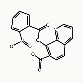 O=C(Oc1c([N+](=O)[O-])ccc2cccnc12)c1ccccc1[N+](=O)[O-]